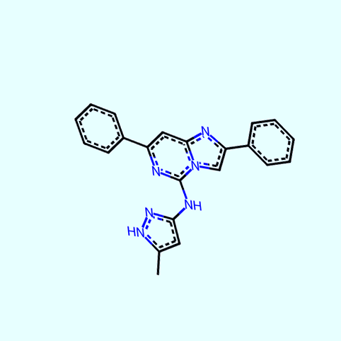 Cc1cc(Nc2nc(-c3ccccc3)cc3nc(-c4ccccc4)cn23)n[nH]1